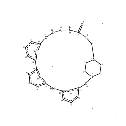 O=C1CCN2CCN(CC2)Cc2cccc(c2)Nc2ncnc(n2)-c2cccc(c2)CCCN1